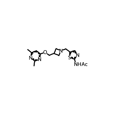 CC(=O)Nc1ncc(CN2CC(COc3cc(C)nc(C)n3)C2)s1